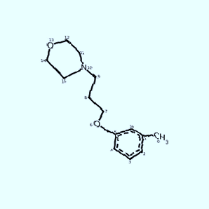 Cc1cccc(OCCCN2CCOCC2)c1